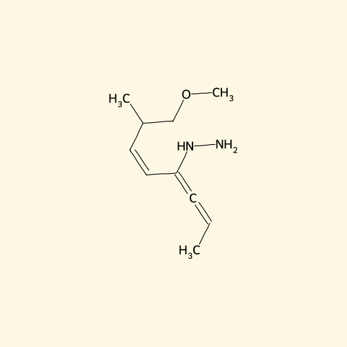 CC=C=C(/C=C\C(C)COC)NN